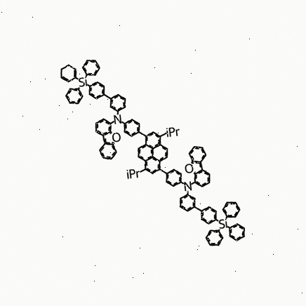 CC(C)c1cc(-c2ccc(N(c3cccc(-c4ccc([Si](C5=CCCC=C5)(c5ccccc5)c5ccccc5)cc4)c3)c3cccc4c3oc3ccccc34)cc2)c2ccc3c(C(C)C)cc(-c4ccc(N(c5cccc(-c6ccc([Si](c7ccccc7)(c7ccccc7)c7ccccc7)cc6)c5)c5cccc6c5oc5ccccc56)cc4)c4ccc1c2c43